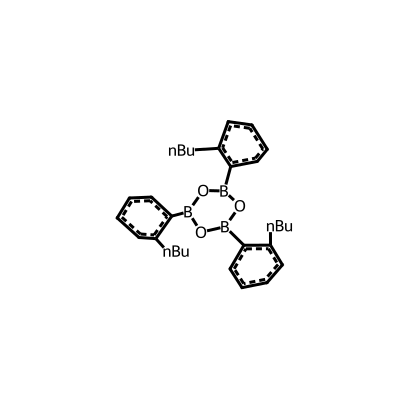 CCCCc1ccccc1B1OB(c2ccccc2CCCC)OB(c2ccccc2CCCC)O1